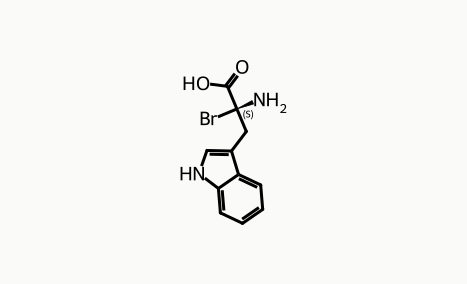 N[C@](Br)(Cc1c[nH]c2ccccc12)C(=O)O